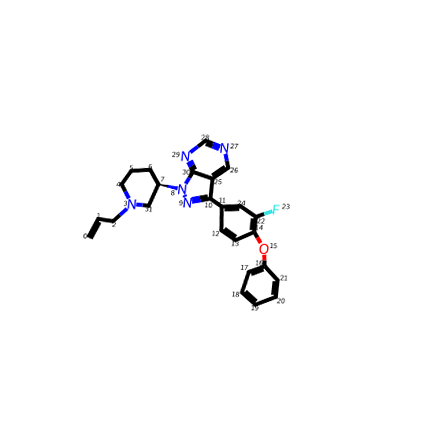 C=CCN1CCC[C@@H](n2nc(-c3ccc(Oc4ccccc4)c(F)c3)c3cncnc32)C1